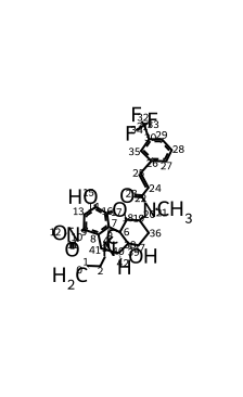 C=CCN1CC[C@]23c4c5c([N+](=O)[O-])cc(O)c4OC2C(N(C)C(=O)/C=C/c2cccc(C(F)(F)F)c2)CC[C@@]3(O)[C@H]1C5